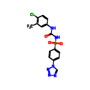 O=C(Nc1ccc(Cl)c(C(F)(F)F)c1)NS(=O)(=O)c1ccc(-n2cnnn2)cc1